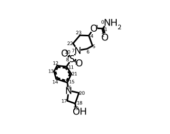 NC(=O)OC1CCN(S(=O)(=O)c2cccc(N3CC(O)C3)c2)CC1